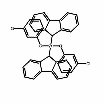 Clc1cccc([O][Zr]([O]c2cccc(Cl)c2)([CH]2c3ccccc3-c3ccccc32)[CH]2c3ccccc3-c3ccccc32)c1